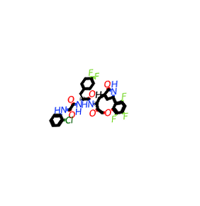 O=C(Nc1ccccc1Cl)C(=O)N[C@@H](CC1CCC(F)(F)CC1)C(=O)N[C@H]1C[C@@H]2CC(NC2=O)c2c(F)cc(F)c(F)c2OCC1=O